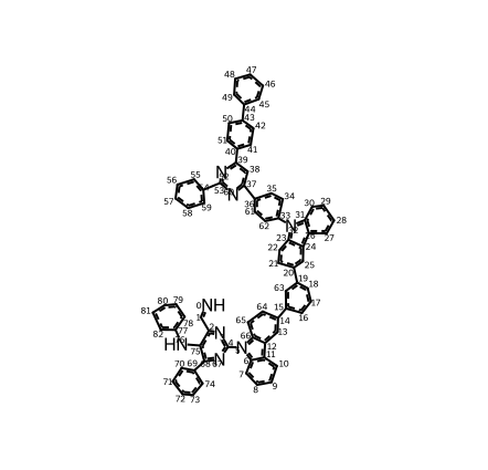 N=Cc1nc(-n2c3ccccc3c3cc(-c4cccc(-c5ccc6c(c5)c5ccccc5n6-c5ccc(-c6cc(-c7ccc(-c8ccccc8)cc7)nc(-c7ccccc7)n6)cc5)c4)ccc32)nc(-c2ccccc2)c1Nc1ccccc1